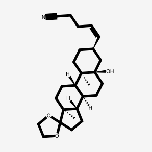 C[C@]12CC[C@H]3[C@@H](CC[C@@]4(O)C[C@H](/C=C\CCC#N)CC[C@]34C)[C@@H]1CCC21OCCO1